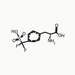 N[C@@H](Cc1ccc(C(F)(F)S(=O)(=O)O)cc1)C(=O)O